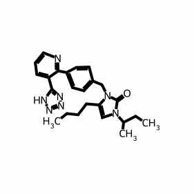 CCCCc1cn(C(C)CC)c(=O)n1Cc1ccc(-c2ncccc2-c2nnn[nH]2)cc1